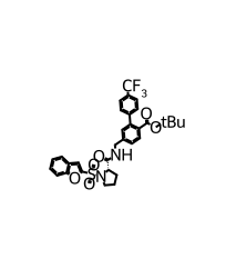 CC(C)(C)OC(=O)c1ccc(CNC(=O)[C@@H]2CCCN2S(=O)(=O)c2cc3ccccc3o2)cc1-c1ccc(C(F)(F)F)cc1